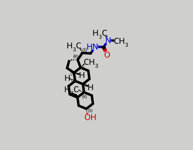 C[C@H](CNC(=O)N(C)C)[C@H]1CC[C@H]2[C@@H]3CC=C4C[C@@H](O)CC[C@]4(C)[C@H]3CC[C@]12C